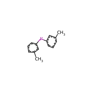 Cc1cccc([I+]c2cccc(C)c2)c1